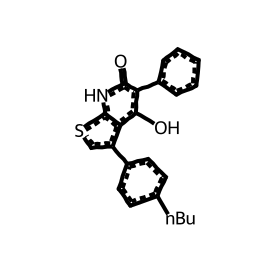 CCCCc1ccc(-c2csc3[nH]c(=O)c(-c4ccccc4)c(O)c23)cc1